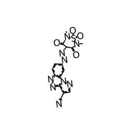 CN1C(=O)C(/N=N/c2ccc3nnc4c(C#N)cnn4c3c2)C(=O)N(C)S1(=O)=O